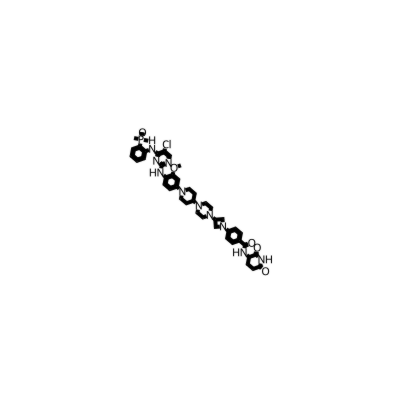 COc1cc(N2CCC(N3CCN(C4CN(c5ccc(C(=O)NC6CCC(=O)NC6=O)cc5)C4)CC3)CC2)ccc1Nc1ncc(Cl)c(Nc2ccccc2P(C)(C)=O)n1